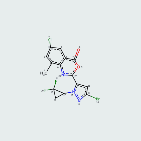 Cc1cc(Cl)cc2c(=O)oc(-c3cc(Br)nn3C3CC3(F)F)nc12